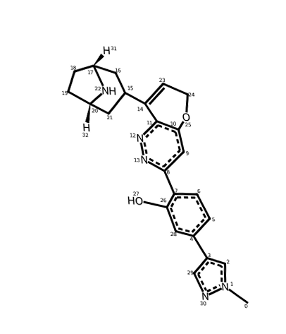 Cn1cc(-c2ccc(-c3cc4c(nn3)C(C3C[C@H]5CC[C@@H](C3)N5)=CCO4)c(O)c2)cn1